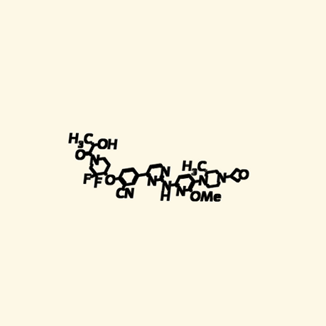 COc1nc(Nc2nccc(-c3ccc(OC4CCN(C(=O)[C@@H](C)O)CC4(F)F)c(C#N)c3)n2)ccc1N1CCN(C2COC2)C[C@H]1C